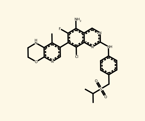 Cc1c(-c2c(F)c(N)c3cnc(Nc4ccc(CS(=O)(=O)C(C)C)cc4)nc3c2Cl)cnc2c1NCCO2